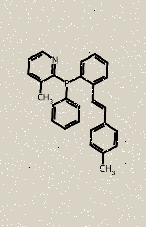 Cc1ccc(C=Cc2ccccc2P(c2ccccc2)c2ncccc2C)cc1